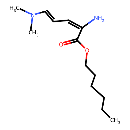 CCCCCCOC(=O)/C(N)=C\C=C\N(C)C